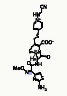 CO/N=C(\C(=O)N[C@@H]1C(=O)N2C(C(=O)[O-])=C(CSc3cc[n+](NCC#N)cc3)CS[C@H]12)c1csc(N)n1